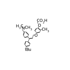 Cc1cc(OC/C=C(\c2ccc(CN(C)C)cc2)c2ccc(C(C)(C)C)cc2)ccc1OCC(=O)O